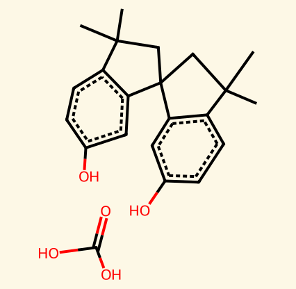 CC1(C)CC2(CC(C)(C)c3ccc(O)cc32)c2cc(O)ccc21.O=C(O)O